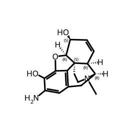 CN1CC[C@]23c4c5cc(N)c(O)c4O[C@H]2[C@@H](O)C=C[C@H]3[C@H]1C5